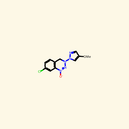 COc1cnn(N2Cc3ccc(Cl)cc3[N+]([O-])=N2)c1